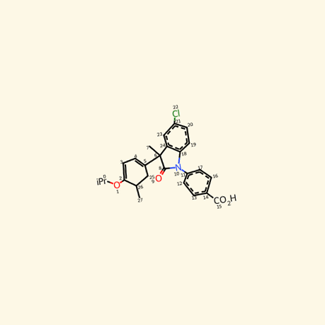 CC(C)OC1=CC=C(C2(C)C(=O)N(c3ccc(C(=O)O)cc3)c3ccc(Cl)cc32)CC1C